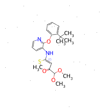 COC(OC)C(=O)/C=C(/Nc1cccnc1Oc1ccccc1C(C)(C)C)SC